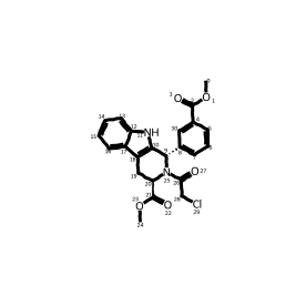 COC(=O)c1cccc([C@H]2c3[nH]c4ccccc4c3C[C@H](C(=O)OC)N2C(=O)CCl)c1